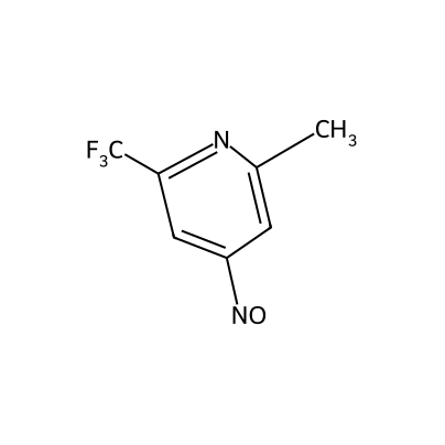 Cc1cc(N=O)cc(C(F)(F)F)n1